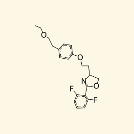 CCOCCc1ccc(OCCC2COC(c3c(F)cccc3F)=N2)cc1